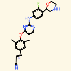 Cc1cc(/C=C/C#N)cc(C)c1Oc1ccnc(Nc2ccc(C3CNCCO3)c(F)c2)n1